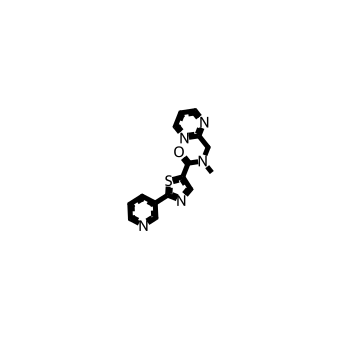 CN(Cc1ncccn1)C(=O)c1cnc(-c2cccnc2)s1